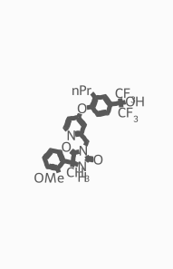 CCCc1cc(C(O)(C(F)(F)F)C(F)(F)F)ccc1Oc1ccnc(CN2C(=O)NC(C)(c3ccccc3OC)C2=O)c1